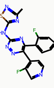 Cc1nsc(Nc2nnc(-c3ccncc3F)c(-c3ccccc3F)n2)n1